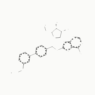 CCCCCOc1cccc(-c2ccc(CNc3nc4c(N)ncnc4n3[C@@H]3O[C@H](CO)[C@@H](O)[C@H]3O)cc2)c1